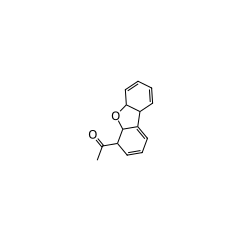 CC(=O)C1C=CC=C2C3C=CC=CC3OC21